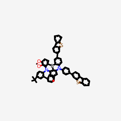 Cc1cc2c3c(c1)N(c1ccc(C(C)(C)C)cc1-c1ccccc1)c1c(ccc4c1OCO4)B3c1cc(-c3ccc4c(c3)sc3ccccc34)ccc1N2c1ccc(-c2ccc3c(c2)sc2ccccc23)cc1